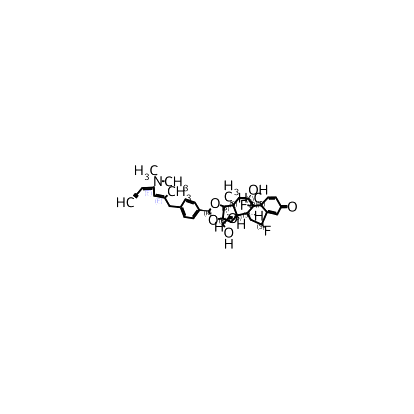 C#C/C=C(\C=C(/C)Cc1ccc([C@@H]2O[C@@H]3C[C@H]4[C@@H]5C[C@H](F)C6=CC(=O)C=C[C@]6(C)[C@@]5(F)[C@@H](O)C[C@]4(C)[C@]3(C(=O)CO)O2)cc1)N(C)C